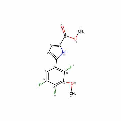 COC(=O)c1ccc(-c2cc(F)c(F)c(OC)c2F)[nH]1